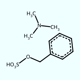 CN(C)C.O=S(=O)(O)OCc1ccccc1